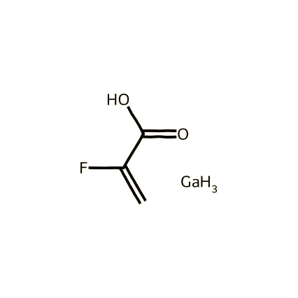 C=C(F)C(=O)O.[GaH3]